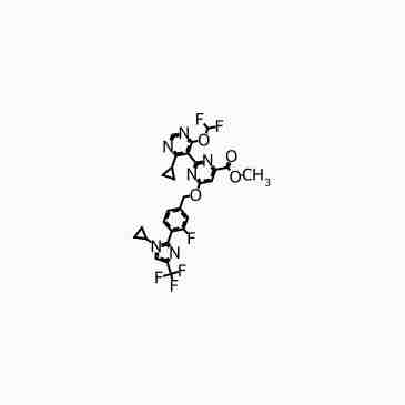 COC(=O)c1cc(OCc2ccc(-c3nc(C(F)(F)F)cn3C3CC3)c(F)c2)nc(-c2c(OC(F)F)ncnc2C2CC2)n1